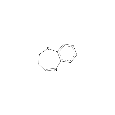 [CH]1CC=Nc2ccccc2S1